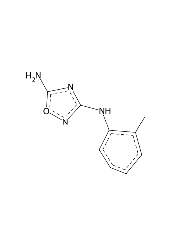 Cc1ccccc1Nc1noc(N)n1